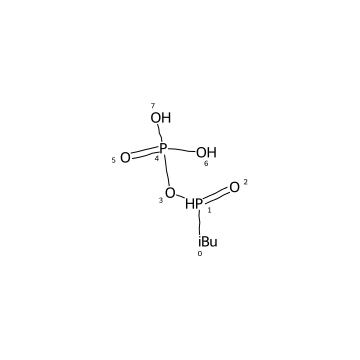 CCC(C)[PH](=O)OP(=O)(O)O